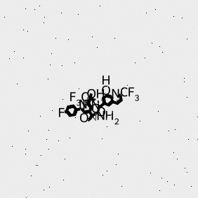 C[C@]1(C(N)=O)COc2c1cc([C@@](O)(CNC(=O)c1cc(O)c3nc(C(F)(F)F)ccc3c1)C(F)(F)F)nc2-c1ccc(F)cc1